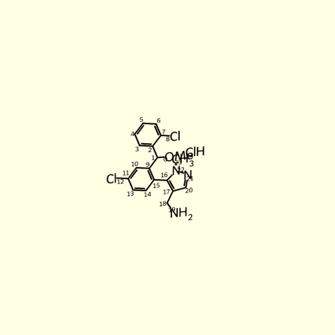 COC(c1ccccc1Cl)c1cc(Cl)ccc1-c1c(CN)cnn1C.Cl